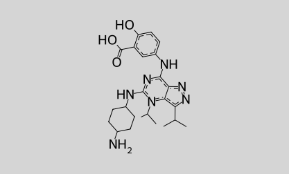 CC(C)c1nnc2c(Nc3ccc(O)c(C(=O)O)c3)nc(NC3CCC(N)CC3)n(C(C)C)c1-2